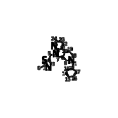 Cc1ncc(CN2C=C3CN(Cc4ccccc4)CC=C3c3cccnc32)s1